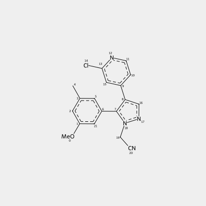 COc1cc(C)cc(-c2c(-c3ccnc(Cl)c3)cnn2CC#N)c1